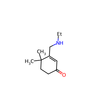 CCNCC1=CC(=O)CCC1(C)C